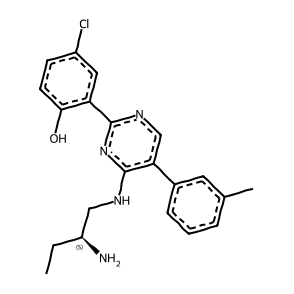 CC[C@H](N)CNc1nc(-c2cc(Cl)ccc2O)ncc1-c1cccc(C)c1